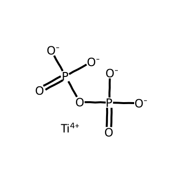 O=P([O-])([O-])OP(=O)([O-])[O-].[Ti+4]